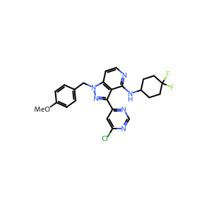 COc1ccc(Cn2nc(-c3cc(Cl)ncn3)c3c(NC4CCC(F)(F)CC4)nccc32)cc1